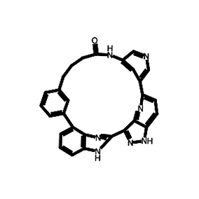 O=C1CCCc2cccc(c2)-c2cccc3[nH]c(nc23)-c2n[nH]c3ccc(nc23)-c2cncc(c2)N1